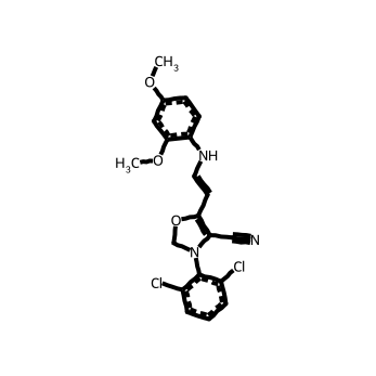 COc1ccc(N/C=C/C2=C(C#N)N(c3c(Cl)cccc3Cl)CO2)c(OC)c1